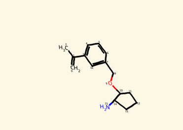 C=C(C)c1cccc(COC2CCCC2N)c1